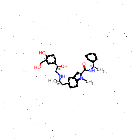 C[C@H](Cc1ccc2c(c1)cc(C(=O)N[C@H](C)c1ccccc1)n2C)NC[C@H](O)c1ccc(O)c(CO)c1